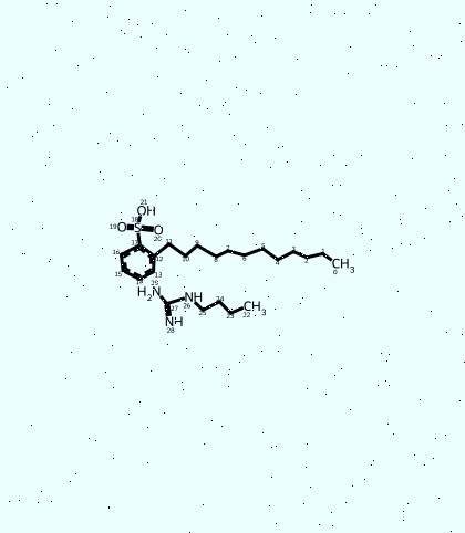 CCCCCCCCCCCCc1ccccc1S(=O)(=O)O.CCCCNC(=N)N